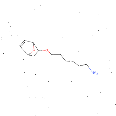 NCCCCCCOC1CC2C=CC1O2